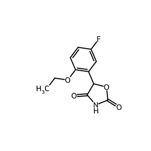 CCOc1ccc(F)cc1C1OC(=O)NC1=O